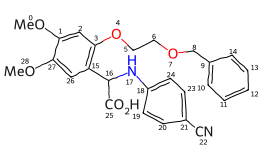 COc1cc(OCCOCc2ccccc2)c(C(Nc2ccc(C#N)cc2)C(=O)O)cc1OC